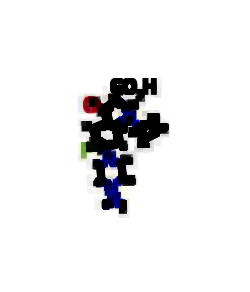 CN(C)N1CCN(c2cc3c(cc2F)c(=O)c(C(=O)O)cn3C23CC(C2)C3)CC1